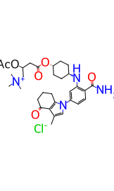 CC(=O)OC(CC(=O)O[C@H]1CC[C@H](Nc2cc(-n3cc(C)c4c3CCCC4=O)ccc2C(N)=O)CC1)C[N+](C)(C)C.[Cl-]